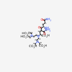 NC(=O)CC[C@H](N)C(=O)C(C[C@@H](C(=O)O)N(CCN(CC(=O)O)CC(=O)O)CCN(CC(=O)O)CC(=O)O)C(N)=O